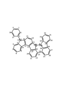 c1ccc(-n2c3ccccc3c3c4c(ccc32)B2c3c-4cccc3-c3cccc4c5ccccc5n2c34)cc1